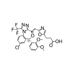 COc1cccc([C@H]2O[C@H](Cc3ncc(CCC(=O)O)o3)c3nnc(C(F)(F)F)n3-c3ccc(Cl)cc32)c1OC